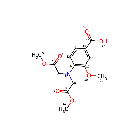 COC(=O)CN(CC(=O)OC)c1ccc(C(=O)O)cc1OC